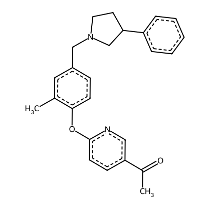 CC(=O)c1ccc(Oc2ccc(CN3CCC(c4ccccc4)C3)cc2C)nc1